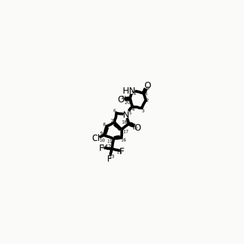 O=C1CCC(N2Cc3cc(Cl)c(C(F)(F)F)cc3C2=O)C(=O)N1